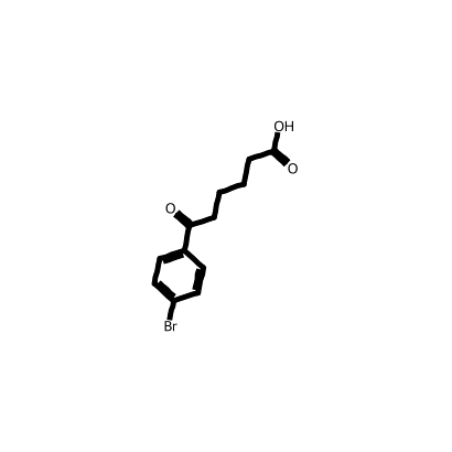 O=C(O)CCCCC(=O)c1ccc(Br)cc1